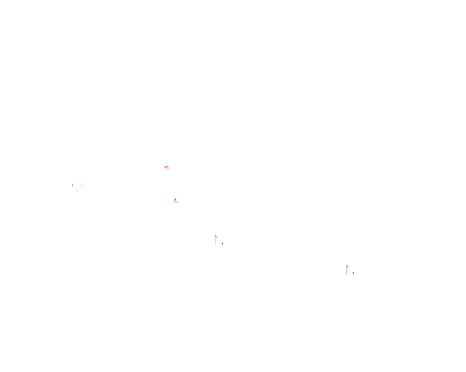 c1cc(-c2ccc3ccccc3c2)cc(N(c2ccc(-n3c4ccccc4c4ccccc43)cc2)c2ccccc2-c2cccc3oc4ccccc4c23)c1